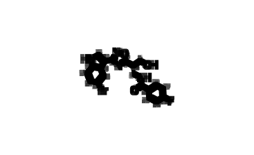 O=C(NC[C@@H](CO)c1nc(-c2c[nH]c3ccc(Br)cc23)no1)c1ccc(F)cc1